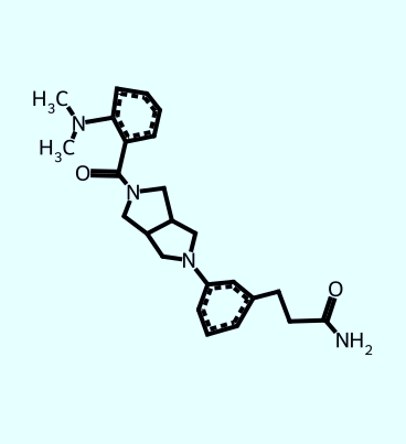 CN(C)c1ccccc1C(=O)N1CC2CN(c3cccc(CCC(N)=O)c3)CC2C1